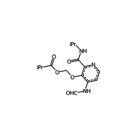 CC(C)NC(=O)c1nccc(NC=O)c1OCOC(=O)C(C)C